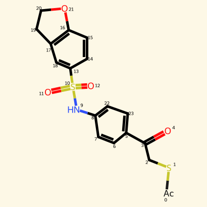 CC(=O)SCC(=O)c1ccc(NS(=O)(=O)c2ccc3c(c2)CCO3)cc1